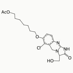 CC(=O)OCCCCCCCOc1ccc2c(c1Cl)CN1C(=N2)NC(=O)C1CO